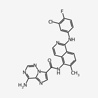 Cc1ccc2c(Nc3ccc(F)c(Cl)c3)nccc2c1NC(=O)c1cnc2c(N)ncnn12